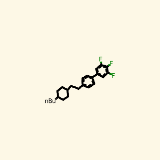 CCCCC1CCC(CCc2ccc(-c3cc(F)c(F)c(F)c3)cc2)CC1